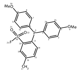 COc1ccc(P(c2ccc(OC)cc2)c2ccc(C)cc2S(=O)(=O)F)cc1